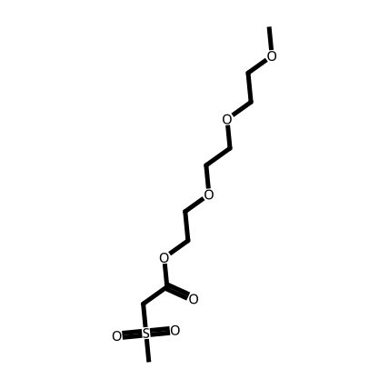 COCCOCCOCCOC(=O)CS(C)(=O)=O